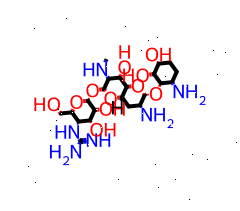 CNC1C(O[C@H]2OC(CO)[C@@H](NC(=N)N)[C@H](O)C2O)O[C@H]2C[C@H](N)[C@@H](O[C@@H]3C(N)CC[C@@H](O)C3O)OC2C1O